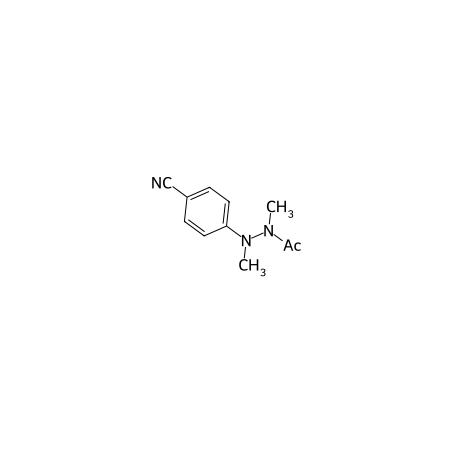 CC(=O)N(C)N(C)c1ccc(C#N)cc1